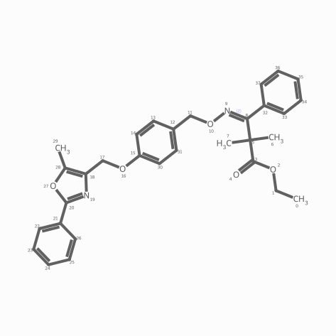 CCOC(=O)C(C)(C)/C(=N\OCc1ccc(OCc2nc(-c3ccccc3)oc2C)cc1)c1ccccc1